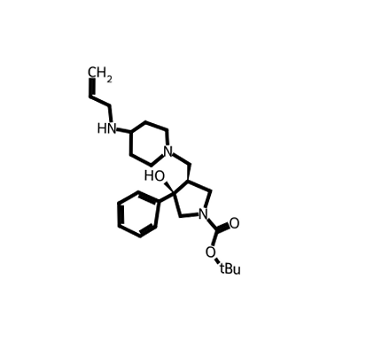 C=CCNC1CCN(C[C@H]2CN(C(=O)OC(C)(C)C)C[C@]2(O)c2ccccc2)CC1